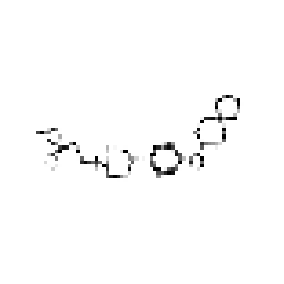 COC(=O)CCN1CCC(c2ccc(OC3CCC4(CCCC4)CC3)cc2)CC1